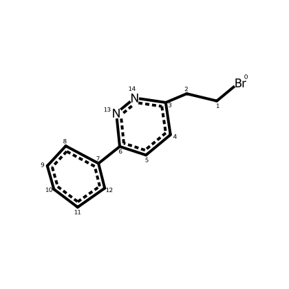 BrCCc1ccc(-c2ccccc2)nn1